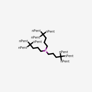 CCCCCC(CCCCC)(CCCCC)CCCP(CCCC(CCCCC)(CCCCC)CCCCC)CCCC(CCCCC)(CCCCC)CCCCC